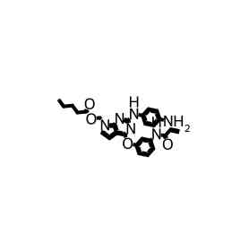 C=CC(=O)Nc1cccc(Oc2nc(Nc3ccc(N)cc3)nc3c2ccn3COC(=O)CCCC)c1